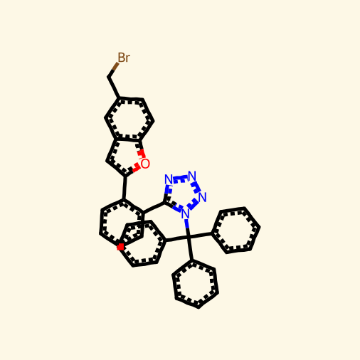 BrCc1ccc2oc(-c3ccccc3-c3nnnn3C(c3ccccc3)(c3ccccc3)c3ccccc3)cc2c1